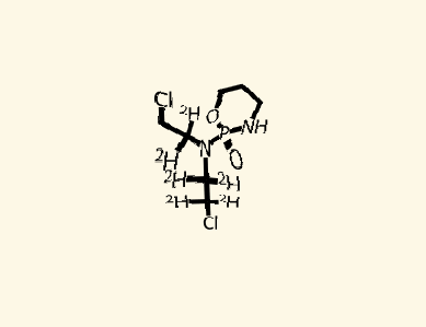 [2H]C([2H])(CCl)N(C([2H])([2H])C([2H])([2H])Cl)P1(=O)NCCCO1